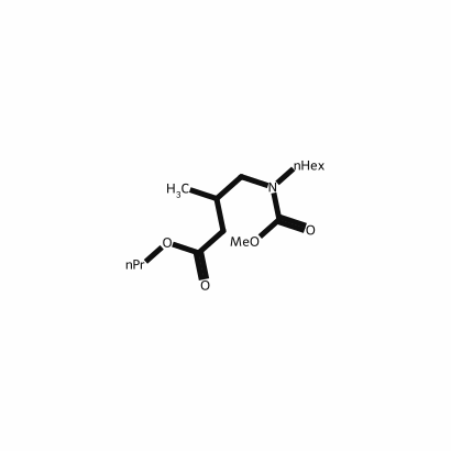 CCCCCCN(CC(C)CC(=O)OCCC)C(=O)OC